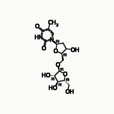 Cc1cn([C@H]2CC(O)[C@@H](CO[C@H]3O[C@H](CO)[C@@H](O)[C@@H]3O)O2)c(=O)[nH]c1=O